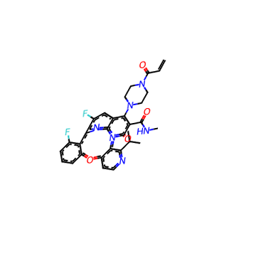 C=CC(=O)N1CCN(c2c(C(=O)NC)c(=O)n3c4nc(c(F)cc24)c2c(F)cccc2oc2ccnc(C(C)C)c23)CC1